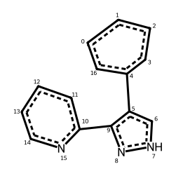 [c]1cccc(-c2c[nH]nc2-c2ccccn2)c1